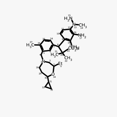 CCC1CN(Cc2cc(C(c3ccc(N(C)N)c(N)c3C)C(C)(C)C(=O)O)ccc2C)CCC(C2CC2)O1